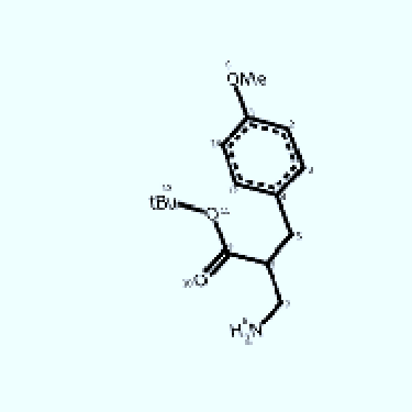 COc1ccc(CC(CN)C(=O)OC(C)(C)C)cc1